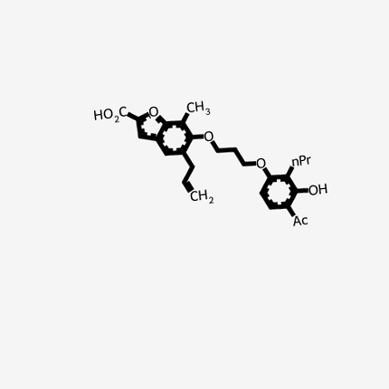 C=CCc1cc2cc(C(=O)O)oc2c(C)c1OCCCOc1ccc(C(C)=O)c(O)c1CCC